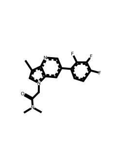 Cc1cn(CC(=O)N(C)C)c2cc(-c3ccc(F)c(F)c3F)cnc12